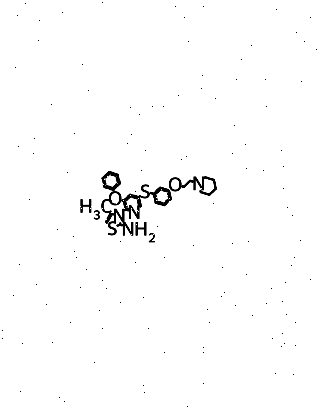 CC1=CSC(N)N1c1ncc(Sc2cccc(OCCN3CCCCC3)c2)cc1Oc1ccccc1